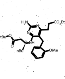 CCCC[C@@H](CC(=O)OC(C)(C)C)Nc1nc(N)nc(CCC(=O)OCC)c1Cc1ccccc1OC